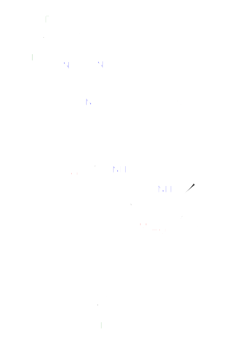 O=C(N[C@@H](Cc1ccc(Cl)cc1)C(=O)O)/C(=C\c1ccc(OC(F)(F)F)cc1)NC(=O)C1CCN(c2nccc(C(F)(F)F)n2)CC1